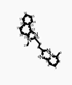 Cc1cccc2nc(CCc3nc4c5ccccc5ccc4n3C)nn12